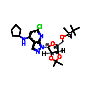 CC1(C)O[C@@H]2[C@H](O1)[C@@H](CO[Si](C)(C)C(C)(C)C)O[C@H]2n1ncc2c(NC3CCCC3)cc(Cl)nc21